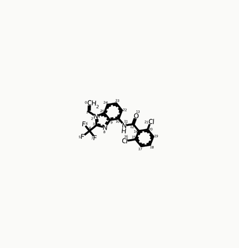 C=Cn1c(C(F)(F)F)nc2c(NC(=O)c3c(Cl)cccc3Cl)cccc21